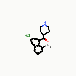 Cc1cccc2cccc(C(=O)C3CCNCC3)c12.Cl